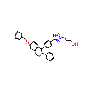 OCCCn1nnc(-c2ccc(C3c4ccc(OCc5ccccc5)cc4CCC3c3ccccc3)cc2)n1